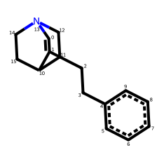 C1=C(CCc2ccccc2)C2CCN1CC2